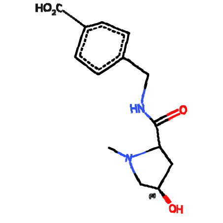 CN1C[C@H](O)CC1C(=O)NCc1ccc(C(=O)O)cc1